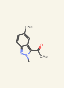 COC(=O)c1c2cc(OC)ccc2nn1C